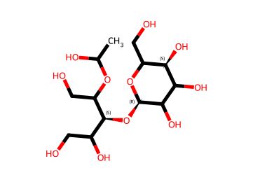 CC(O)OC(CO)[C@@H](O[C@H]1OC(CO)[C@@H](O)C(O)C1O)C(O)CO